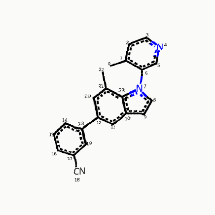 Cc1ccncc1-n1ccc2cc(-c3cccc(C#N)c3)cc(C)c21